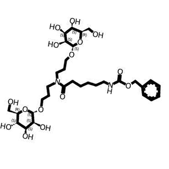 O=C(NCCCCCC(=O)N(CCCO[C@H]1O[C@H](CO)[C@@H](O)[C@H](O)[C@@H]1O)CCCO[C@H]1O[C@H](CO)[C@@H](O)[C@H](O)[C@@H]1O)OCc1ccccc1